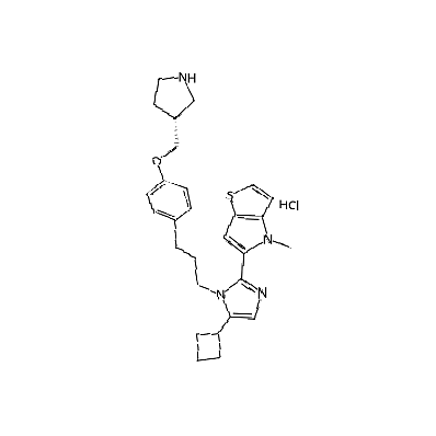 Cl.Cn1c(-c2ncc(C3CCC3)n2CCCc2ccc(OC[C@@H]3CCNC3)cc2)cc2sccc21